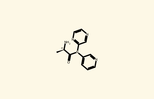 C[C@@H](N)C(=O)N(c1cccnc1)c1cnccn1